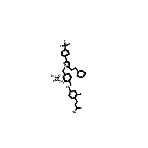 CS(=O)(=O)O.O=C(O)CCc1ccc(NCc2ccc(Cn3nc(-c4ccc(C(F)(F)F)cc4)cc3CCc3ccccc3)cc2)cc1F